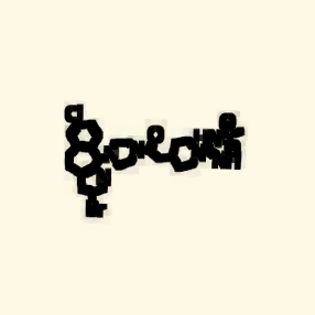 CS(=O)(=O)NC(=N)N1CCC(CC(=O)N2CCN(C3c4ccc(Cl)cc4CCc4cc(Br)cnc43)CC2)CC1